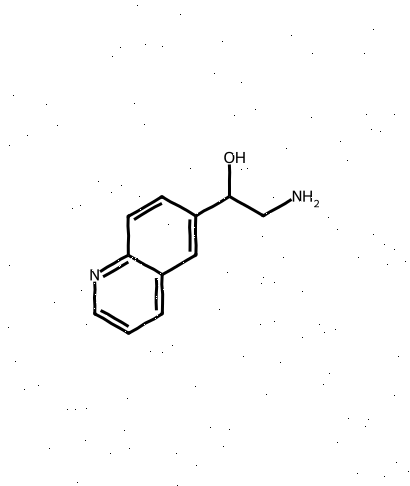 NCC(O)c1ccc2ncccc2c1